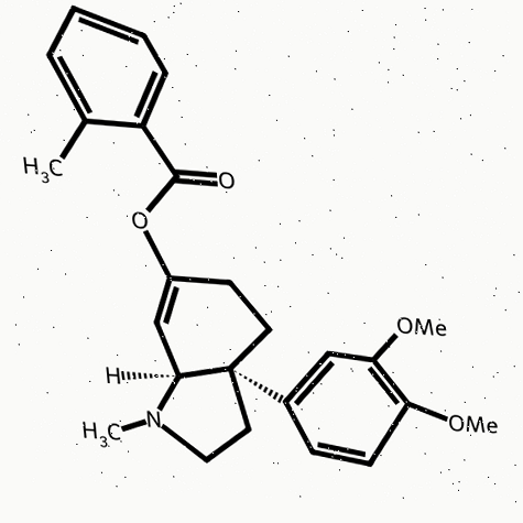 COc1ccc([C@@]23CCC(OC(=O)c4ccccc4C)=C[C@@H]2N(C)CC3)cc1OC